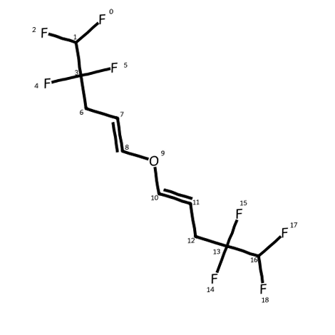 FC(F)C(F)(F)CC=COC=CCC(F)(F)C(F)F